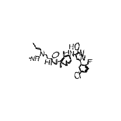 CCCN(CCNC)CCC(=O)Nc1cc(Nc2cc(-c3cc(Cl)ccc3F)nnc2O)ccn1